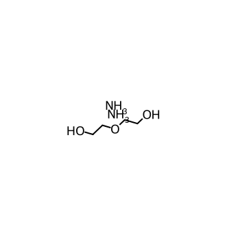 N.N.OCCOCCO